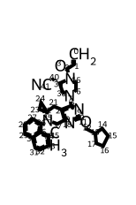 C=CC(=O)N1CCN(c2nc(OCC3CCCC3)nc3c2CC2(CC2)N(c2cccc4cccc(C)c24)C3)C[C@@H]1CC#N